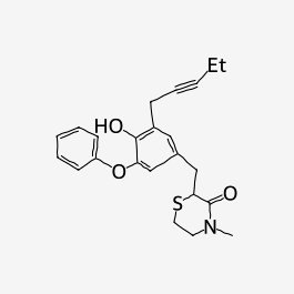 CCC#CCc1cc(CC2SCCN(C)C2=O)cc(Oc2ccccc2)c1O